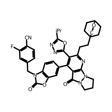 CC(C)c1nnc(-c2c(CCC34CCC(CC3)OC4)nc3c(c2-c2ccc4c(c2)oc(=O)n4Cc2ccc(C#N)c(F)c2)c(=O)n2n3CCC2)o1